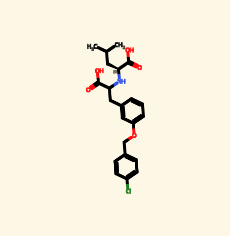 CC(C)C[C@H](NC(Cc1cccc(OCc2ccc(Cl)cc2)c1)C(=O)O)C(=O)O